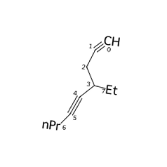 C#CCC(C#CCCC)CC